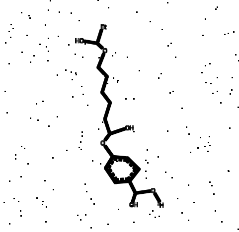 [3H]OC(O)c1ccc(OC(O)CCCCCOC(O)CC)cc1